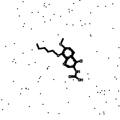 CCCCCOc1c(OC)ccc2c(Cl)c(NC(=O)O)cnc12